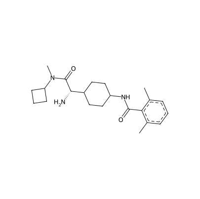 Cc1cccc(C)c1C(=O)NC1CCC([C@H](N)C(=O)N(C)C2CCC2)CC1